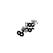 CCc1ccc(F)c(C(Nc2ccc3c(N)nccc3c2)c2nc(-c3cccc4ccccc34)nn2C)c1